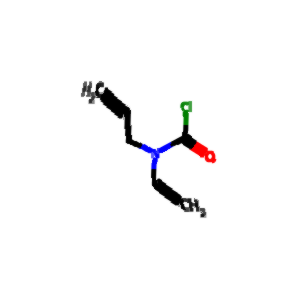 C=CCN(C=C)C(=O)Cl